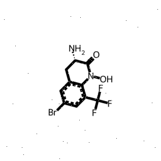 N[C@H]1Cc2cc(Br)cc(C(F)(F)F)c2N(O)C1=O